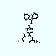 NC(=O)CNC(=O)[C@H](CCCC(=O)O)NC(=O)OCC1c2ccccc2-c2ccccc21